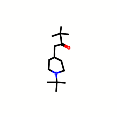 CC(C)(C)C(=O)CC1CCN(C(C)(C)C)CC1